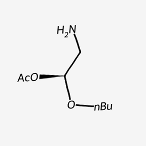 CCCCO[C@H](CN)OC(C)=O